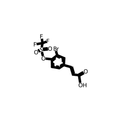 O=C(O)/C=C/c1ccc(OS(=O)(=O)C(F)(F)F)c(Br)c1